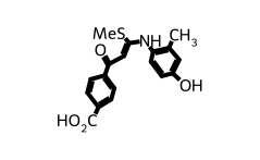 CS/C(=C\C(=O)c1ccc(C(=O)O)cc1)Nc1ccc(O)cc1C